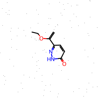 C=C(OCC)c1ccc(=O)[nH]n1